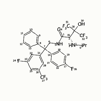 CC(C)N[C@H](C(=O)NCC(c1ccccc1)(c1ccc(F)cc1)c1cc(F)cc(C(F)(F)F)c1)C(O)(C(F)(F)F)C(F)(F)F